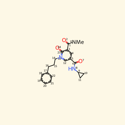 CNC(=O)c1cc(C(=O)NC2CC2)cn(CCCc2ccccc2)c1=O